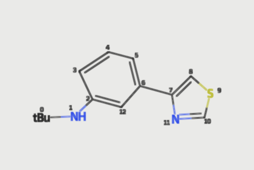 CC(C)(C)Nc1cccc(-c2cscn2)c1